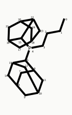 CCCCP(C1C2CC3CC(C2)CC1C3)C1C2CC3CC(C2)C1C3